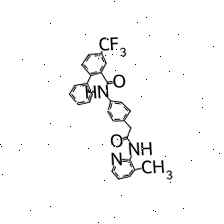 Cc1cccnc1NC(=O)Cc1ccc(NC(=O)c2cc(C(F)(F)F)ccc2-c2ccccc2)cc1